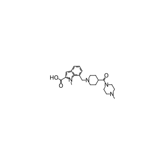 CN1CCN(C(=O)C2CCN(Cc3cccc4cc(C(=O)O)n(C)c34)CC2)CC1